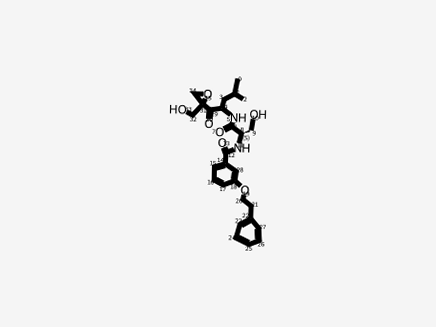 CC(C)CC(NC(=O)[C@H](CO)NC(=O)c1cccc(OCCc2ccccc2)c1)C(=O)C1(CO)CO1